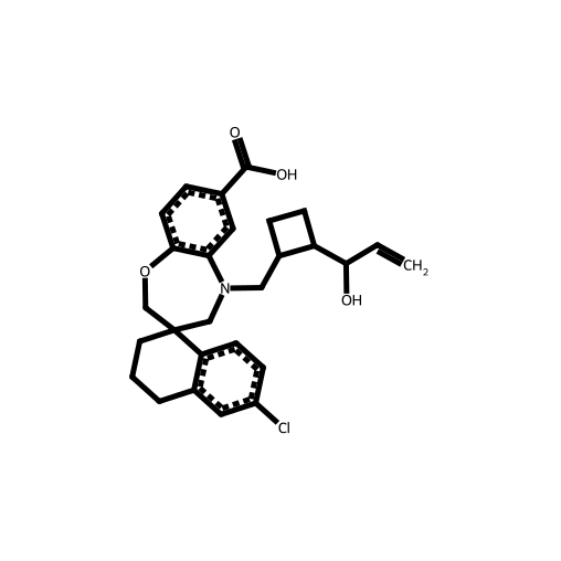 C=CC(O)C1CCC1CN1CC2(CCCc3cc(Cl)ccc32)COc2ccc(C(=O)O)cc21